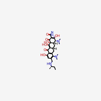 CC[C@@H](C)NCc1cc(O)c2c(c1N(C)C)C[C@H]1C[C@H]3[C@H](N(C)C)C(O)=C(C(N)=O)C(=O)[C@@]3(O)C(O)=C1C2=O